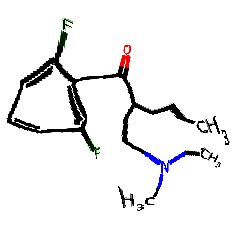 CCC(CN(C)C)C(=O)c1c(F)cccc1F